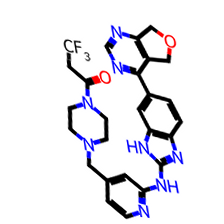 O=C(CC(F)(F)F)N1CCN(Cc2ccnc(Nc3nc4ccc(-c5ncnc6c5COC6)cc4[nH]3)c2)CC1